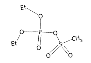 CCOP(=O)(OCC)OS(C)(=O)=O